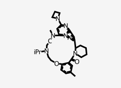 Cc1ccc2c(c1)C(=O)N1CCCCC1c1cc3nc(N4CCC4)cc(n3n1)N(C)CCN(C(C)C)CCO2